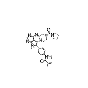 C=C(C)C(=O)Nc1ccc(-c2c3c4c(ncnc4n2C)N=C2C[C@H](C(=O)N4CCCC4)CCN23)cc1